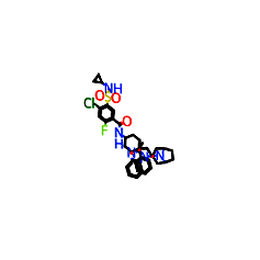 Cc1nc2ccccc2n1C1CC2CCC(C1)N2CCC1(c2ccccc2)CCC(NC(=O)c2cc(S(=O)(=O)NC3CC3)c(Cl)cc2F)CC1